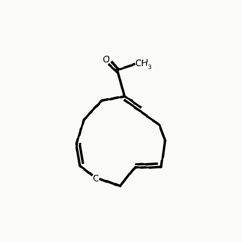 CC(=O)/C1=C\CC/C=C/CCC=CCC1